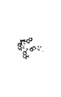 CC(C)C1=NCCc2ccc([C@H]3C[C@@H]3c3ccc4cc(C(=N)N)ccc4c3)cc21.CC(C)C1=NCCc2ccc([C@H]3C[C@H]3N=C(N)c3ccc4ccccc4c3)cc21